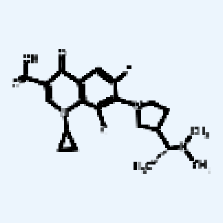 C[C@H](C1CCN(c2c(F)cc3c(=O)c(C(=O)O)cn(C4CC4)c3c2Cl)C1)N(C)C